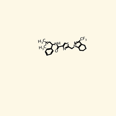 CN(C)CC(NC(=O)c1csc(Cn2nc(C(F)(F)F)c3c2CCCC3)n1)c1ccccc1